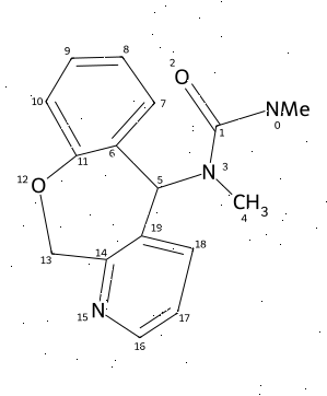 CNC(=O)N(C)C1c2ccccc2OCc2ncccc21